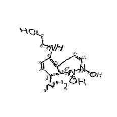 Nc1ccc(NCCO)c2c1N(O)N(O)C=C2